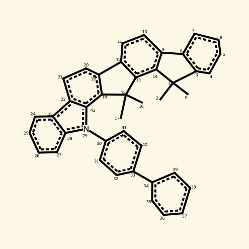 CC1(C)c2ccccc2-c2ccc3c(c21)C(C)(C)c1c-3ccc2c3ccccc3n(-c3ccc(-c4ccccc4)cc3)c12